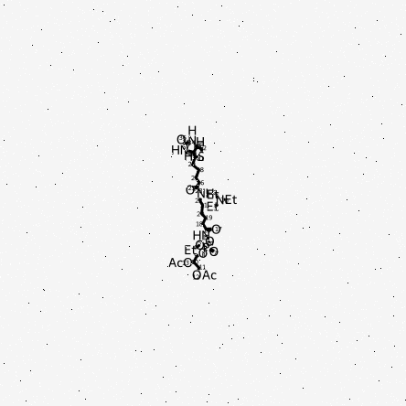 CCN(CC)CC.CCOP(=O)(OCC(COC(C)=O)OC(C)=O)ONC(=O)CCCCCNC(=O)CCCCC1SC[C@@H]2NC(=O)N[C@H]12